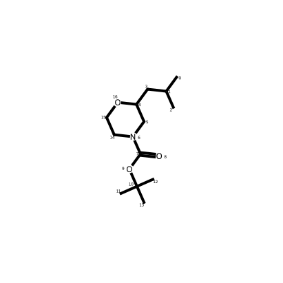 CC(C)CC1CN(C(=O)OC(C)(C)C)CCO1